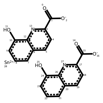 O=C([O-])c1ccc2cccc(O)c2n1.O=C([O-])c1ccc2cccc(O)c2n1.[Sn+2]